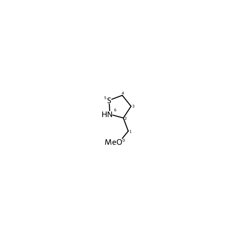 COCC1CCSN1